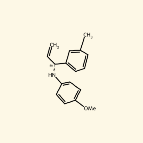 C=C[C@@H](Nc1ccc(OC)cc1)c1cccc(C)c1